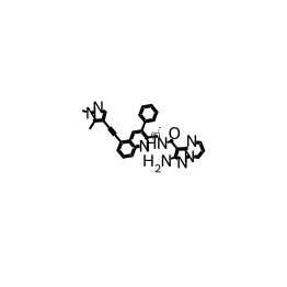 Cc1c(C#Cc2cccc3nc([C@H](C)NC(=O)c4c(N)nn5cccnc45)c(-c4ccccc4)cc23)cnn1C